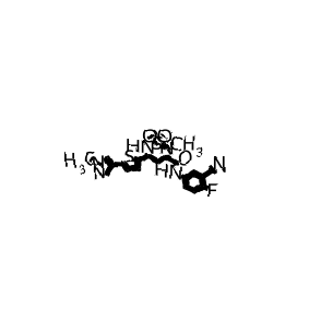 CN1C(C(=O)Nc2ccc(F)c(C#N)c2)CC(c2ccc(-c3cnn(C)c3)s2)NS1(=O)=O